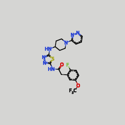 O=C(Cc1cc(OC(F)(F)F)ccc1F)Nc1nnc(NC2CCN(c3cccnn3)CC2)s1